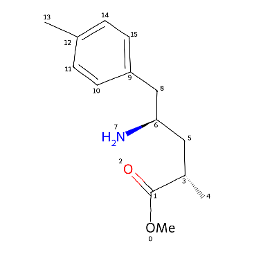 COC(=O)[C@@H](C)C[C@@H](N)Cc1ccc(C)cc1